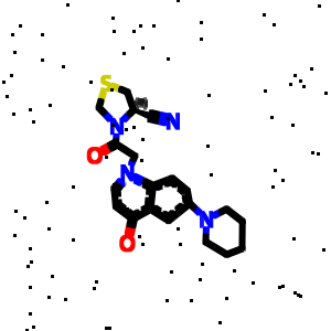 N#C[C@@H]1CSCN1C(=O)Cn1ccc(=O)c2cc(N3CCCCC3)ccc21